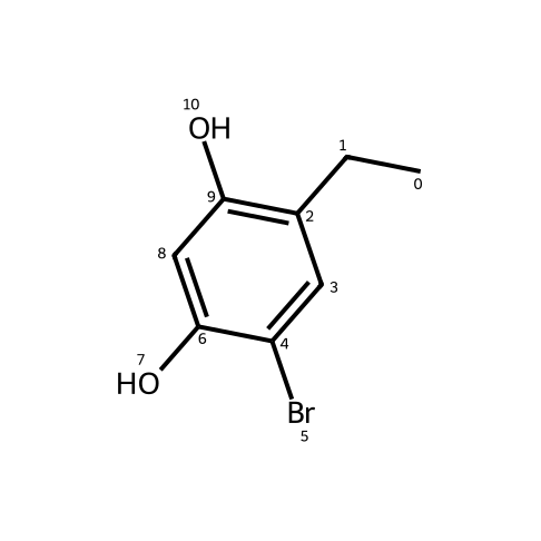 CCc1cc(Br)c(O)cc1O